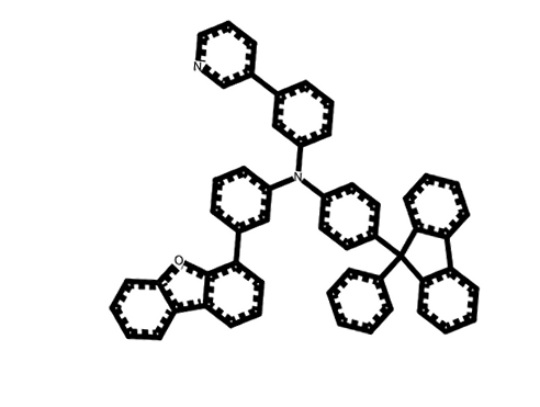 c1ccc(C2(c3ccc(N(c4cccc(-c5cccnc5)c4)c4cccc(-c5cccc6c5oc5ccccc56)c4)cc3)c3ccccc3-c3ccccc32)cc1